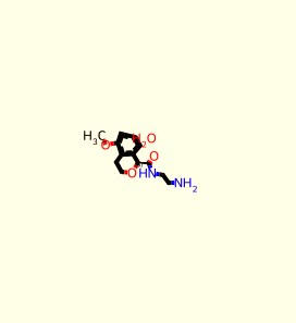 COc1cccc2c1CCO[C@@H]2C(=O)NCCN.O